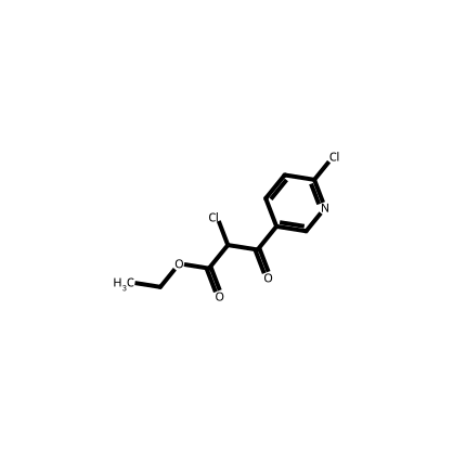 CCOC(=O)C(Cl)C(=O)c1ccc(Cl)nc1